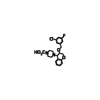 O=C(O)N1CCN(C2c3ccccc3OCC2OCc2cc(F)cc(Cl)c2)CC1